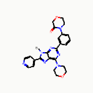 CCn1c(-c2ccncc2)nc2c(N3CCOCC3)nc(-c3cccc(N4CCOCC4=O)c3)nc21